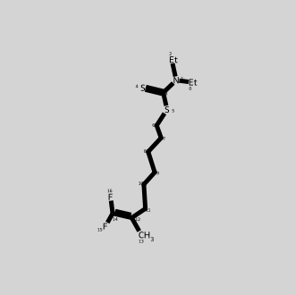 CCN(CC)C(=S)SCCCCCCC(C)=C(F)F